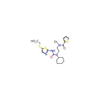 CCN(CCN(C(=O)Nc1ncc(SCC(=O)O)s1)C1CCCCC1)C(=O)c1cccs1